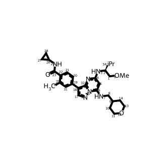 COC[C@@H](Nc1cc(NCC2CCOCC2)n2ncc(-c3ccc(C(=O)NC4CC4)c(C)c3)c2n1)C(C)C